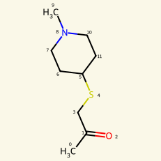 CC(=O)CSC1CCN(C)CC1